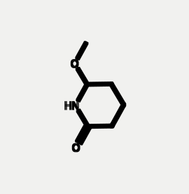 COC1CCCC(=O)N1